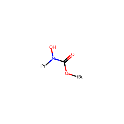 CC(C)N(O)C(=O)OC(C)(C)C